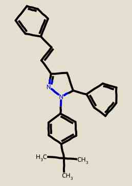 CC(C)(C)c1ccc(N2N=C(C=Cc3ccccc3)CC2c2ccccc2)cc1